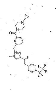 Cc1cc(C(F)=Cc2ccc(C3(C(F)(F)F)CC3)cc2)nn1Cc1cccc(C(=O)N2CCN(C3CC3)CC2)c1